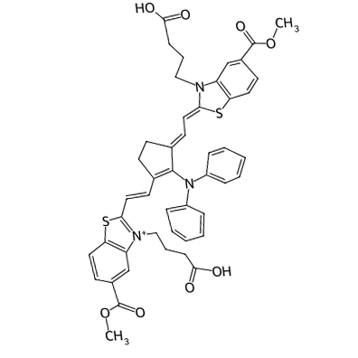 COC(=O)c1ccc2c(c1)N(CCCC(=O)O)/C(=C/C=C1\CCC(/C=C/c3sc4ccc(C(=O)OC)cc4[n+]3CCCC(=O)O)=C1N(c1ccccc1)c1ccccc1)S2